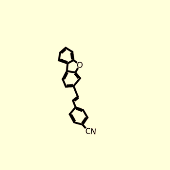 N#Cc1ccc(C=Cc2ccc3c(c2)oc2ccccc23)cc1